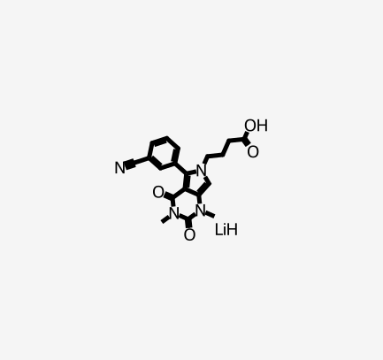 Cn1c(=O)c2c(-c3cccc(C#N)c3)n(CCCC(=O)O)cc2n(C)c1=O.[LiH]